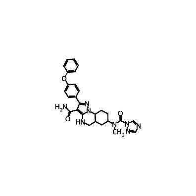 CN(C(=O)n1cncn1)C1CCC2C(CNc3c(C(N)=O)c(-c4ccc(Oc5ccccc5)cc4)nn32)C1